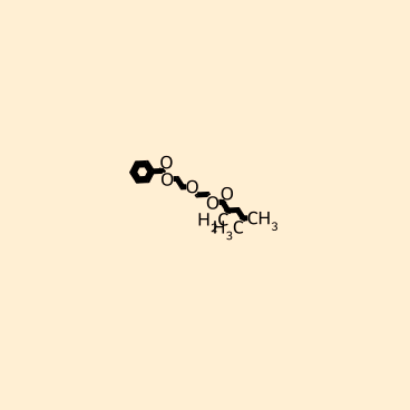 C=C(CC(C)C)C(=O)OCCOCCOC(=O)c1ccccc1